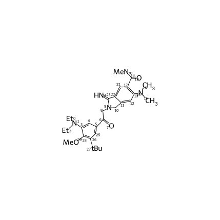 CCN(CC)c1cc(C(=O)CN2Cc3cc(N(C)C)c(C(=O)NC)cc3C2=N)cc(C(C)(C)C)c1OC